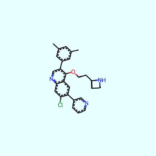 Cc1cc(C)cc(-c2cnc3cc(Cl)c(-c4cccnc4)cc3c2OCCC2CCN2)c1